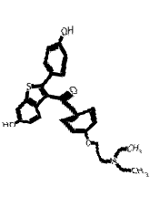 CCN(CC)CCOc1ccc(C(=O)c2c(-c3ccc(O)cc3)sc3cc(O)ccc23)cc1